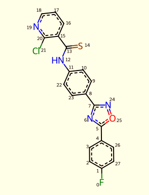 Fc1ccc(-c2nc(-c3ccc(NC(=S)c4cccnc4Cl)cc3)no2)cc1